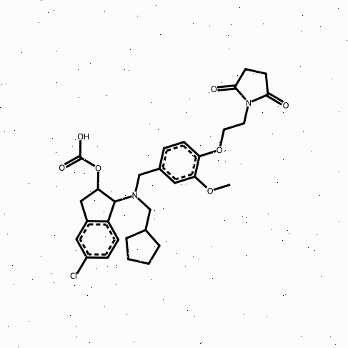 COc1cc(CN(CC2CCCC2)C2c3ccc(Cl)cc3CC2OC(=O)O)ccc1OCCN1C(=O)CCC1=O